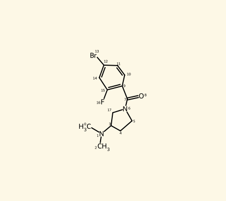 CN(C)C1CCN(C(=O)c2ccc(Br)cc2F)C1